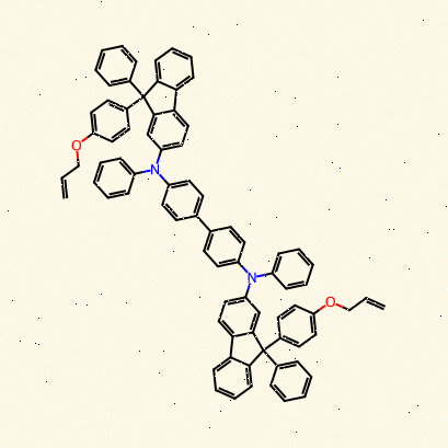 C=CCOc1ccc(C2(c3ccccc3)c3ccccc3-c3ccc(N(c4ccccc4)c4ccc(-c5ccc(N(c6ccccc6)c6ccc7c(c6)C(c6ccccc6)(c6ccc(OCC=C)cc6)c6ccccc6-7)cc5)cc4)cc32)cc1